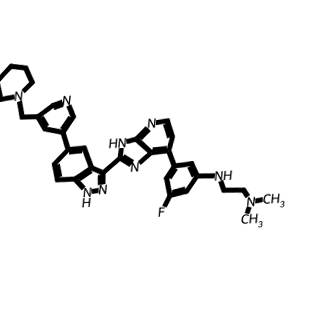 CN(C)CCNc1cc(F)cc(-c2ccnc3[nH]c(-c4n[nH]c5ccc(-c6cncc(CN7CCCCC7)c6)cc45)nc23)c1